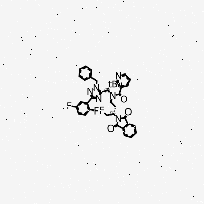 CC(C)(C)[C@H](c1nc(-c2cc(F)ccc2F)nn1Cc1ccccc1)N(CC[C@@H](CF)N1C(=O)c2ccccc2C1=O)C(=O)c1cccnc1